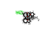 Cl.Cl.[SiH2]=[Hf]([c]1ccccc1)([c]1ccccc1)([c]1ccc2cccccc1-2)[c]1ccc2cccccc1-2